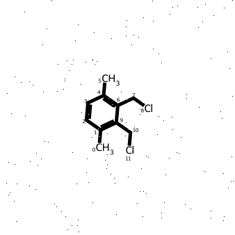 Cc1ccc(C)c(CCl)c1CCl